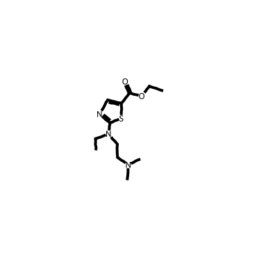 CCOC(=O)c1cnc(N(CC)CCN(C)C)s1